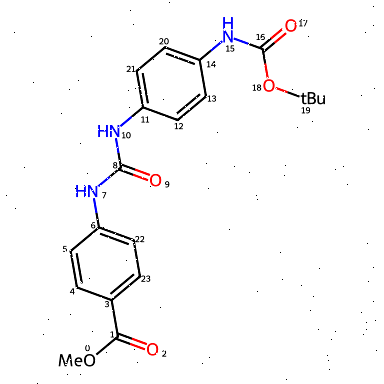 COC(=O)c1ccc(NC(=O)Nc2ccc(NC(=O)OC(C)(C)C)cc2)cc1